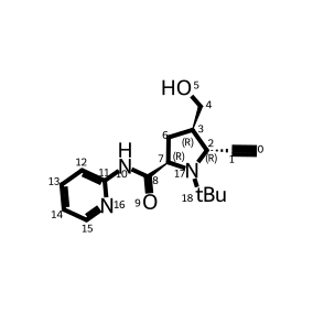 C#C[C@H]1[C@H](CO)C[C@H](C(=O)Nc2ccccn2)N1C(C)(C)C